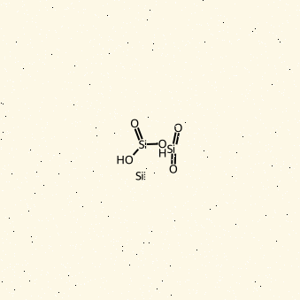 O=[Si](O)O.O=[Si]=O.[Si]